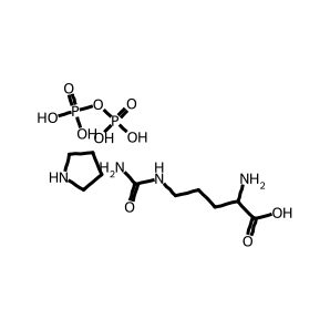 C1CCNC1.NC(=O)NCCCC(N)C(=O)O.O=P(O)(O)OP(=O)(O)O